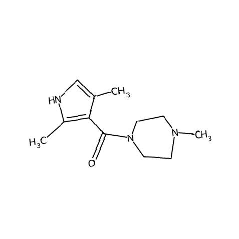 Cc1c[nH]c(C)c1C(=O)N1CCN(C)CC1